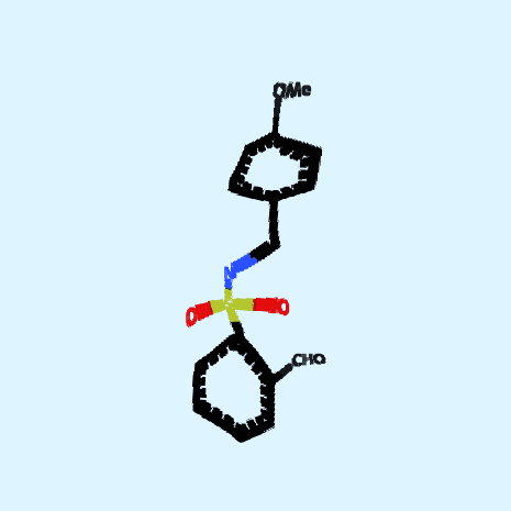 COc1ccc(/C=N/S(=O)(=O)c2ccccc2C=O)cc1